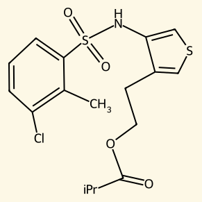 Cc1c(Cl)cccc1S(=O)(=O)Nc1cscc1CCOC(=O)C(C)C